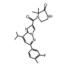 Cc1ccc(-c2cc(C(C)C)c3nc(C(=O)N4CCNC(=O)C4(C)C)cn3n2)cc1F